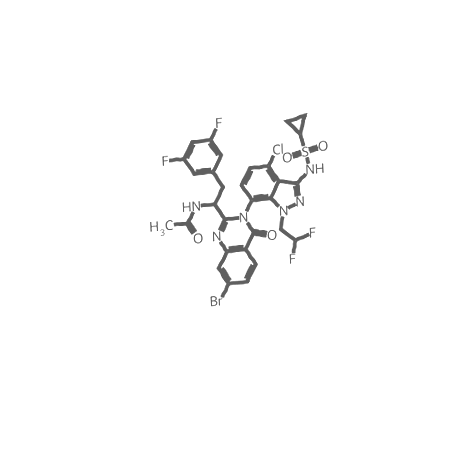 CC(=O)NC(Cc1cc(F)cc(F)c1)c1nc2cc(Br)ccc2c(=O)n1-c1ccc(Cl)c2c(NS(=O)(=O)C3CC3)nn(CC(F)F)c12